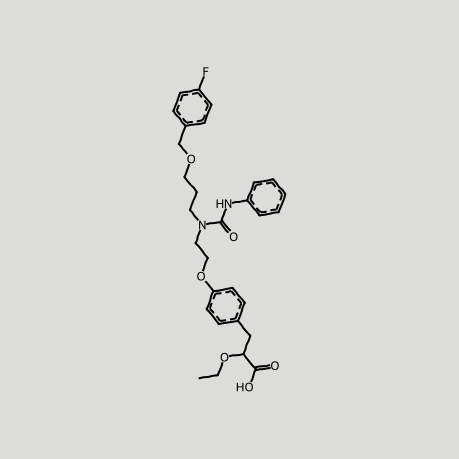 CCOC(Cc1ccc(OCCN(CCCOCc2ccc(F)cc2)C(=O)Nc2ccccc2)cc1)C(=O)O